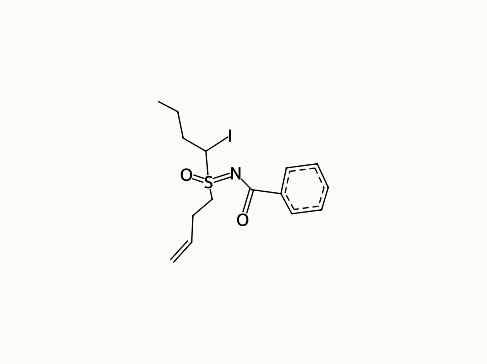 C=CCCS(=O)(=NC(=O)c1ccccc1)C(I)CCC